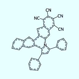 N#Cc1c(C#N)c(C#N)c2cc3c(cc2c1C#N)c1cc2ccccc2cc1c1c(-c2ccccc2)cc(-c2ccccc2)n31